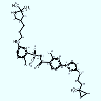 Cc1ccc(NCCCC2CNC(C)(C)C2)nc1S(=O)(=O)NC(=O)c1ccc(-n2ccc(OCCC3(C(F)(F)F)CC3)n2)nc1Cl